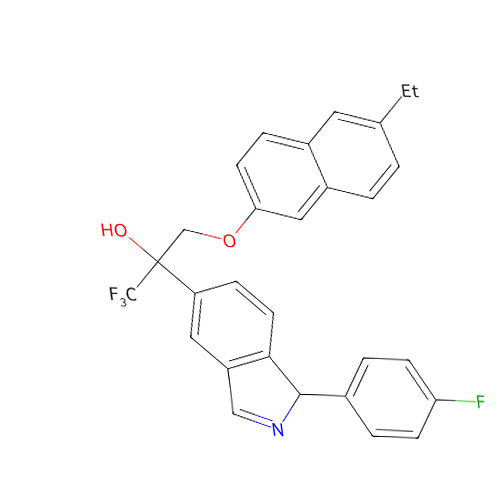 CCc1ccc2cc(OCC(O)(c3ccc4c(c3)C=NC4c3ccc(F)cc3)C(F)(F)F)ccc2c1